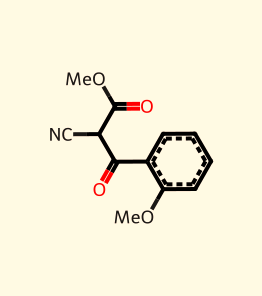 COC(=O)C(C#N)C(=O)c1ccccc1OC